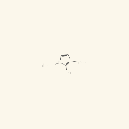 CCCCCCCCC[n+]1ccn(CCCCCCC)c1C(C)C